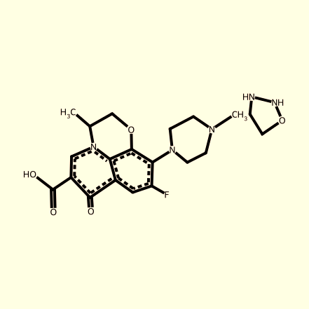 C1CONN1.CC1COc2c(N3CCN(C)CC3)c(F)cc3c(=O)c(C(=O)O)cn1c23